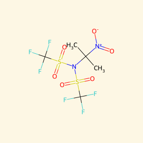 CC(C)(N(S(=O)(=O)C(F)(F)F)S(=O)(=O)C(F)(F)F)[N+](=O)[O-]